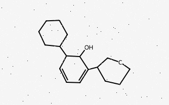 OC1C(C2CCCCC2)=CC=CC1C1CCCCC1